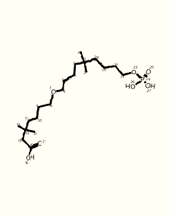 CC(C)(CCCCOCCCCC(C)(C)CC(=O)O)CCCCOP(=O)(O)O